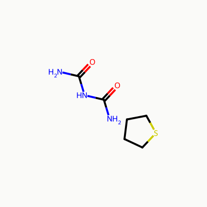 C1CCSC1.NC(=O)NC(N)=O